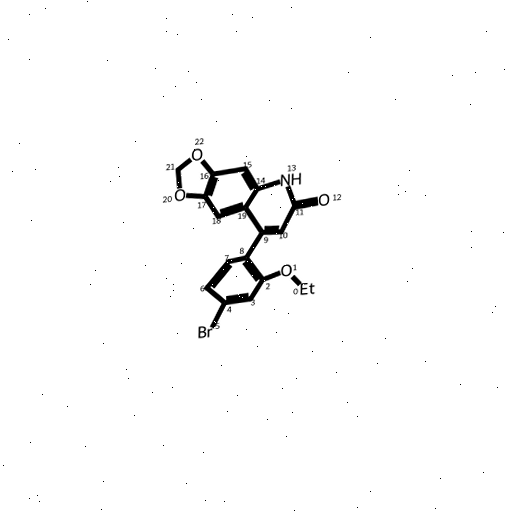 CCOc1cc(Br)ccc1-c1cc(=O)[nH]c2cc3c(cc12)OCO3